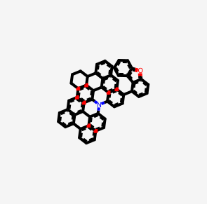 c1ccc(-c2cccc3cccc(-c4ccccc4N(c4ccc(-c5cccc6oc7ccccc7c56)cc4)c4ccccc4-c4cccc5cccc(C6CCCCC6)c45)c23)cc1